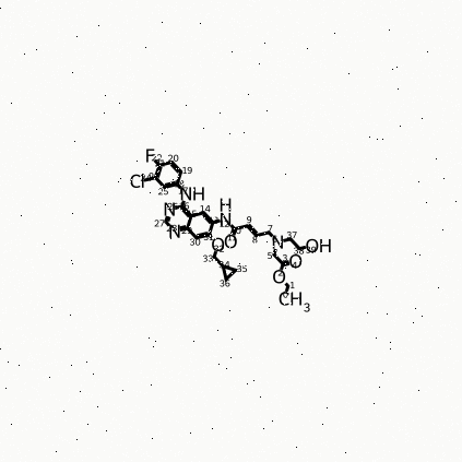 CCOC(=O)CN(CC=CC(=O)Nc1cc2c(Nc3ccc(F)c(Cl)c3)ncnc2cc1OCC1CC1)CCO